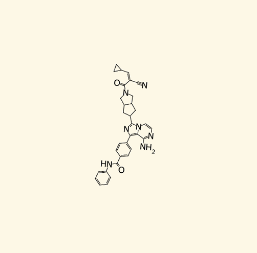 N#C/C(=C/C1CC1)C(=O)N1CC2CC(c3nc(-c4ccc(C(=O)Nc5ccccc5)cc4)c4c(N)nccn34)CC2C1